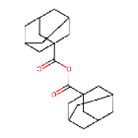 O=C(OC(=O)C12CC3CC(CC(C3)C1)C2)C12CC3CC(CC(C3)C1)C2